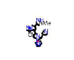 CN/C=C(\C=N)c1cc(-c2ccc(N3CC4CC(C3)N4CC#Cc3ccncc3)nc2)c2c(C#N)cnn2c1